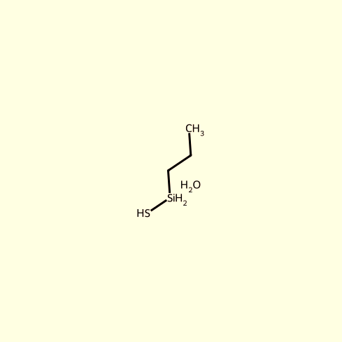 CCC[SiH2]S.O